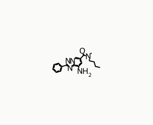 CCCCN(C)C(=O)c1cc(N)c2nc(-c3ccccc3)nn2c1